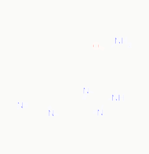 N#Cc1ccc(-c2cnc3[nH]cc(/C=C/C(N)=O)c3n2)cn1